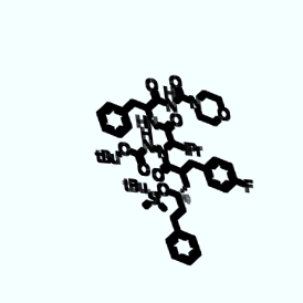 CC(C)C(C(=O)NC(Cc1ccccc1)C(=O)NC(=O)N1CCOCC1)N(NC(=O)OC(C)(C)C)C(=O)C(Cc1ccc(F)cc1)C[C@H](CCc1ccccc1)O[Si](C)(C)C(C)(C)C